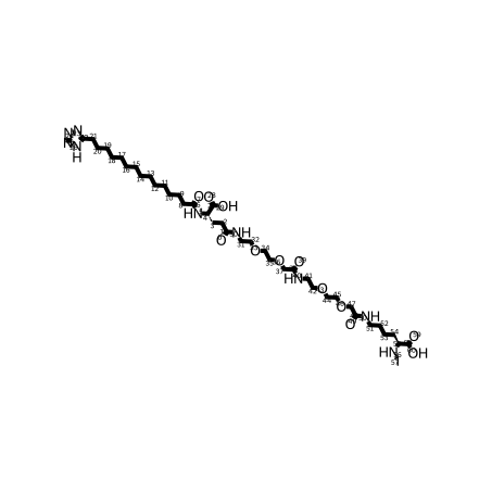 O=C(CC[C@H](NC(=O)CCCCCCCCCCCCCCc1nnn[nH]1)C(=O)O)NCCOCCOCC(=O)NCCOCCOCC(=O)NCCCC[C@H](NI)C(=O)O